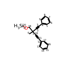 CC(C#Cc1ccccc1)(C#Cc1ccccc1)CO[SiH3]